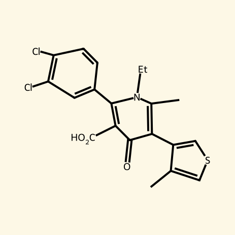 CCn1c(C)c(-c2cscc2C)c(=O)c(C(=O)O)c1-c1ccc(Cl)c(Cl)c1